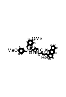 COc1ccc(CN(Cc2ccc(OC)cc2)S(=O)(=O)c2ccn(CC=CCC3(O)CCc4cc5c(c([N+](=O)[O-])c43)CCC5)n2)cc1